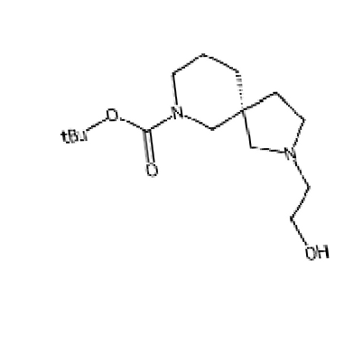 CC(C)(C)OC(=O)N1CCC[C@@]2(CCN(CCO)C2)C1